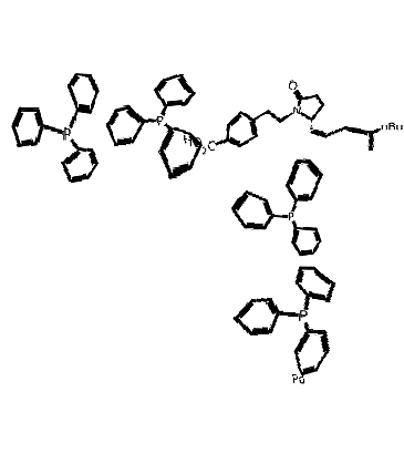 CCCC/C(C)=C/C=C\[C@H]1CCC(=O)N1CCc1ccc(C(=O)O)cc1.[Pd].c1ccc(P(c2ccccc2)c2ccccc2)cc1.c1ccc(P(c2ccccc2)c2ccccc2)cc1.c1ccc(P(c2ccccc2)c2ccccc2)cc1.c1ccc(P(c2ccccc2)c2ccccc2)cc1